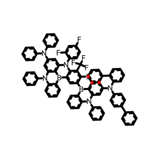 Fc1ccc(N2c3cc(N(c4ccccc4)c4ccccc4)cc4c3B(c3ccccc3N4c3ccccc3)c3cc4c(c(C(F)(F)F)c32)Sc2cc(N(c3ccc(-c5ccccc5)cc3)c3ccccc3-c3ccccc3)cc3c2B4c2ccccc2N3c2ccccc2)c(F)c1